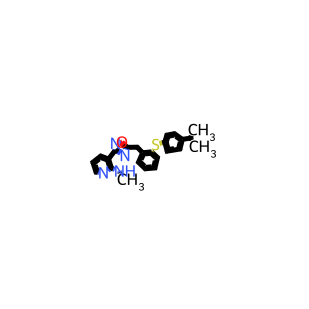 CNc1ncccc1-c1noc(Cc2ccccc2Sc2ccc(C(C)C)cc2)n1